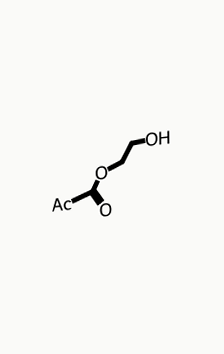 CC(=O)C(=O)OCCO